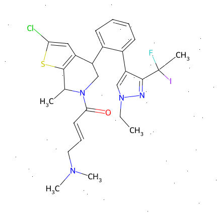 CCn1cc(-c2ccccc2C2CN(C(=O)/C=C/CN(C)C)C(C)c3sc(Cl)cc32)c(C(C)(F)I)n1